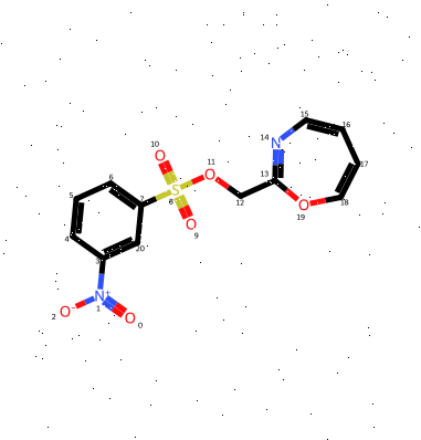 O=[N+]([O-])c1cccc(S(=O)(=O)OCC2=NC=CC=CO2)c1